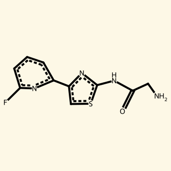 NCC(=O)Nc1nc(-c2cccc(F)n2)cs1